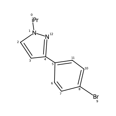 CC(C)n1ccc(-c2ccc(Br)cc2)n1